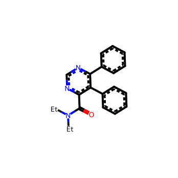 CCN(CC)C(=O)c1ncnc(-c2ccccc2)c1-c1ccccc1